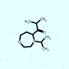 CC(C)C(=O)C1CCOCCN1C(C)C